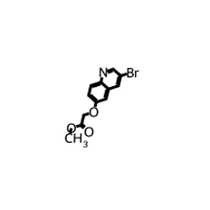 COC(=O)COc1ccc2ncc(Br)cc2c1